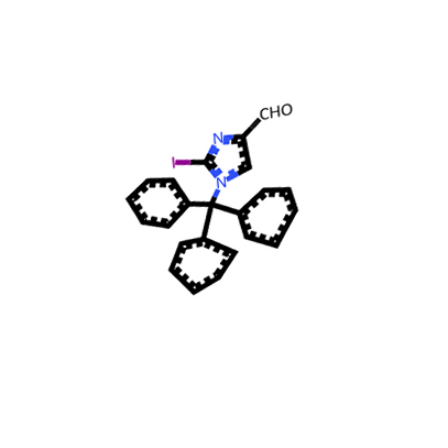 O=Cc1cn(C(c2ccccc2)(c2ccccc2)c2ccccc2)c(I)n1